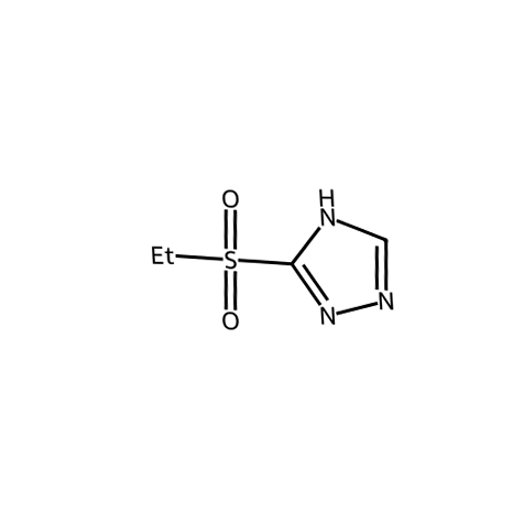 CCS(=O)(=O)c1nnc[nH]1